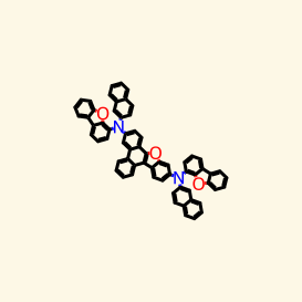 c1ccc2cc(N(c3ccc4c(c3)oc3c5ccc(N(c6ccc7ccccc7c6)c6cccc7c6oc6ccccc67)cc5c5ccccc5c43)c3cccc4c3oc3ccccc34)ccc2c1